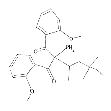 COc1ccccc1C(=O)C(P)(C(=O)c1ccccc1OC)C(C)CC(C)(C)C